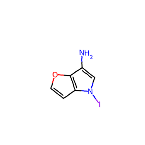 Nc1cn(I)c2ccoc12